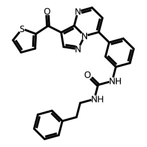 O=C(NCCc1ccccc1)Nc1cccc(-c2ccnc3c(C(=O)c4cccs4)cnn23)c1